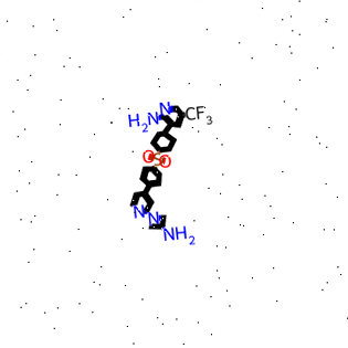 Nc1ncc(C(F)(F)F)cc1C1CCC(S(=O)(=O)c2ccc(-c3ccnc(N4CC(N)C4)c3)cc2)CC1